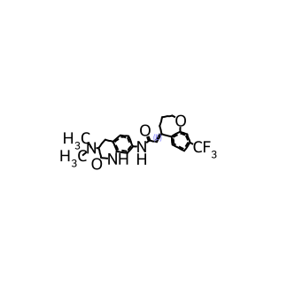 CN(C)C1Cc2ccc(NC(=O)/C=C3\CCCOc4cc(C(F)(F)F)ccc43)cc2NC1=O